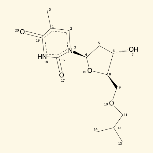 Cc1cn([C@H]2C[C@H](O)[C@@H](COCC(C)C)O2)c(=O)[nH]c1=O